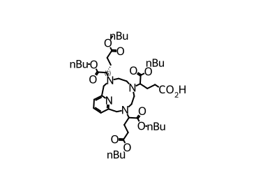 CCCCOC(=O)CCC(C(=O)OCCCC)N1CCN(C(CCC(=O)O)C(=O)OCCCC)CCN([C@@H](CCC(=O)OCCCC)C(=O)OCCCC)Cc2cccc(n2)C1